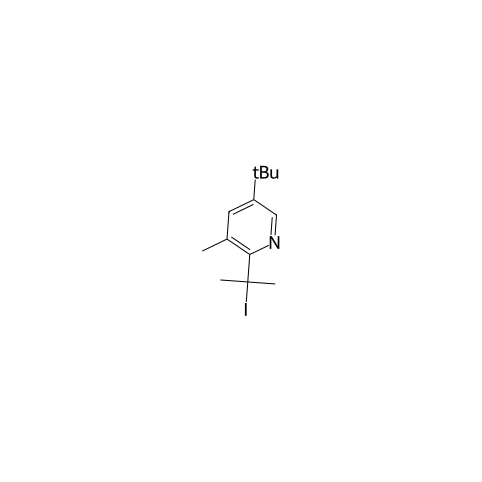 Cc1cc(C(C)(C)C)cnc1C(C)(C)I